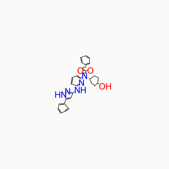 O=S(=O)(c1ccccc1)N(c1cccc(Nc2cc(-c3ccccc3)[nH]n2)n1)[C@H]1CC[C@H](O)CC1